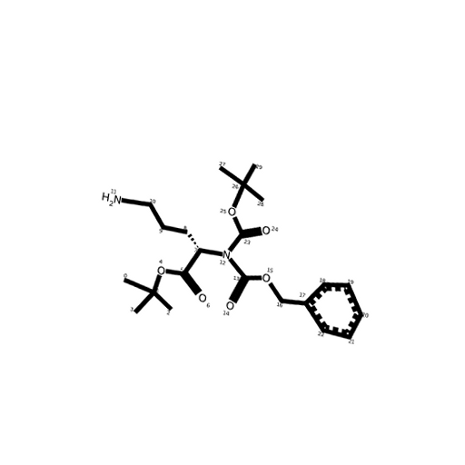 CC(C)(C)OC(=O)[C@H](CCCN)N(C(=O)OCc1ccccc1)C(=O)OC(C)(C)C